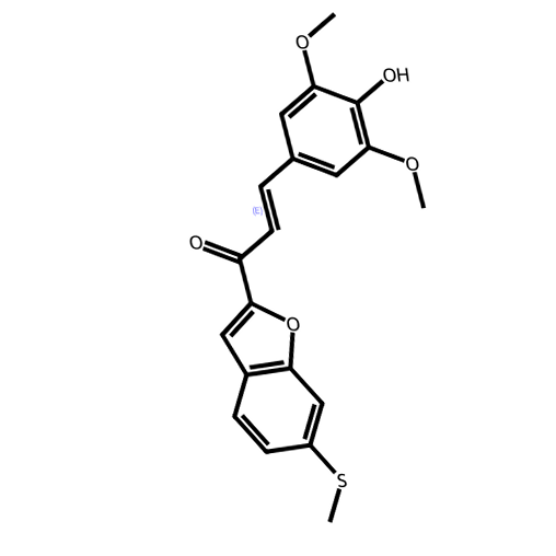 COc1cc(/C=C/C(=O)c2cc3ccc(SC)cc3o2)cc(OC)c1O